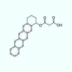 O=C(O)CC(=O)OC1CCCc2cc3cc4cc5ccccc5cc4cc3cc21